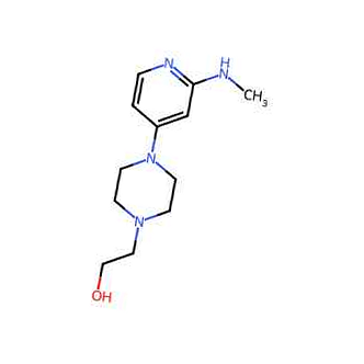 CNc1cc(N2CCN(CCO)CC2)ccn1